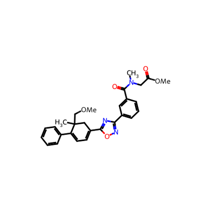 COCC1(C)CC(c2nc(-c3cccc(C(=O)N(C)CC(=O)OC)c3)no2)=CC=C1c1ccccc1